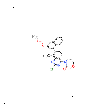 COCOc1cc(-c2ccc3c(N4CCCOCC4=O)nc(Cl)nc3c2C)c2ccccc2c1